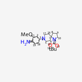 COc1cc(N2CCC3(CCCN3C(=O)OC(C)(C)C)CC2)ccc1N